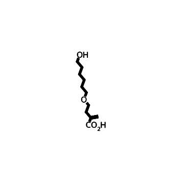 C=C(CCOCCCCCCO)C(=O)O